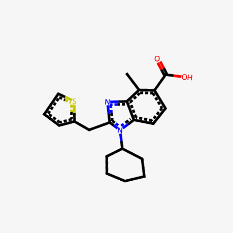 Cc1c(C(=O)O)ccc2c1nc(Cc1cccs1)n2C1CCCCC1